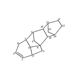 C1=CC2CC34CC(C(C1)C23)C1C2CCC(C2)C14